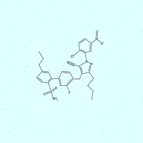 CCCCc1nn(-c2cc([N+](=O)[O-])ccc2Cl)c(C#N)c1Cc1ccc(-c2cc(CCC)ccc2S(N)(=O)=O)cc1F